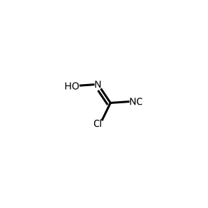 [C-]#[N+]C(Cl)=NO